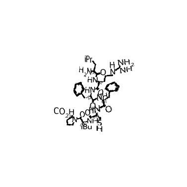 CC[C@H](C)[C@H](NC(=O)[C@H](CS)NC(=O)[C@H](Cc1ccccc1)NC(=O)[C@H](Cc1ccccc1)NC(=O)[C@H](CCCNC(=N)N)NC(=O)[C@@H](N)CC(C)C)C(=O)N1CCC[C@H]1C(=O)O